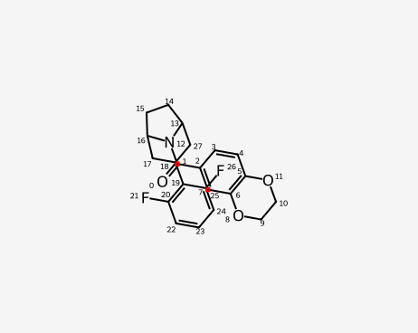 O=C(c1ccc2c(c1)OCCO2)N1C2CCC1CC(c1c(F)cccc1F)C2